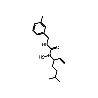 C=CC(CCC(C)C)N(S)C(=O)NCc1cccc(C)c1